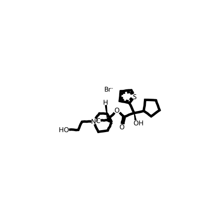 O=C(O[C@H]1C[N+]2(CCO)CCC1CC2)[C@](O)(c1cccs1)C1CCCC1.[Br-]